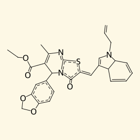 C=CCN1C=C(/C=c2\sc3n(c2=O)C(c2ccc4c(c2)OCO4)C(C(=O)OCC)=C(C)N=3)C2C=CC=CC21